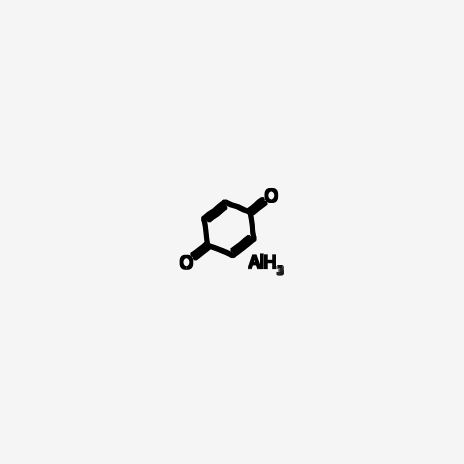 O=C1C=CC(=O)C=C1.[AlH3]